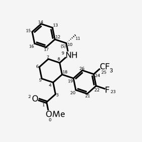 COC(=O)CC1CCCC(N[C@@H](C)c2ccccc2)C1c1ccc(F)c(C(F)(F)F)c1